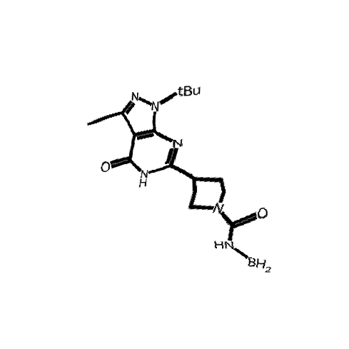 BNC(=O)N1CC(c2nc3c(c(C)nn3C(C)(C)C)c(=O)[nH]2)C1